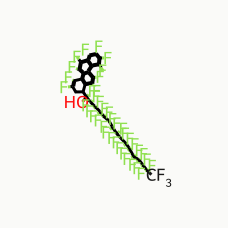 OC(F)(C1CC(F)=C(F)c2c1c(F)c(F)c1c2c(F)c(F)c2c(F)c(F)c(F)c(F)c21)C(F)(F)C(F)(F)C(F)(F)C(F)(F)C(F)(F)C(F)(F)C(F)(F)C(F)(F)C(F)(F)C(F)(F)C(F)(F)C(F)(F)C(F)(F)C(F)(F)C(F)(F)F